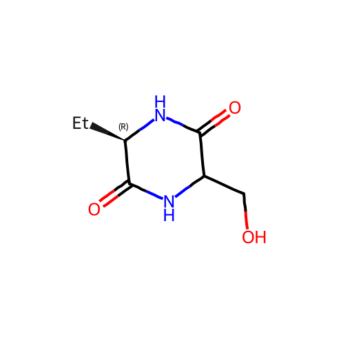 CC[C@H]1NC(=O)C(CO)NC1=O